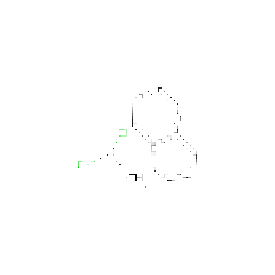 CC(Cl)Cl.c1ccc2ccccc2c1